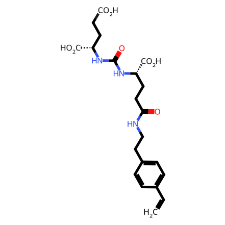 C=Cc1ccc(CCNC(=O)CC[C@H](NC(=O)N[C@@H](CCC(=O)O)C(=O)O)C(=O)O)cc1